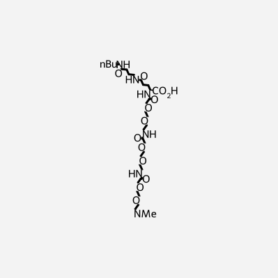 CCCCNC(=O)CCCNC(=O)CC[C@H](NC(=O)COCCOCCNC(=O)COCCOCCNC(=O)COCCOCCNC)C(=O)O